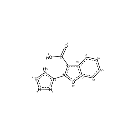 O=C(O)c1c(-c2nnn[nH]2)oc2ccccc12